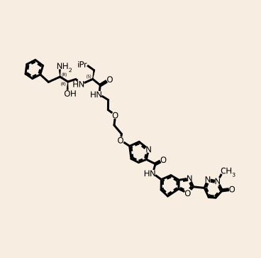 CC(C)C[C@H](NC[C@@H](O)[C@H](N)Cc1ccccc1)C(=O)NCCOCCOc1ccc(C(=O)Nc2ccc3oc(-c4ccc(=O)n(C)n4)nc3c2)nc1